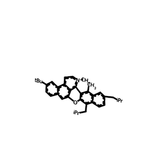 Cc1c2c(c(CC(C)C)c3ccc(CC(C)C)cc13)Oc1cc3ccc(C(C)(C)C)cc3c3cc[n+](C)c-2c13